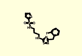 O=S(=O)(NCCCNc1nc(Cc2ccccc2F)ns1)c1cccs1